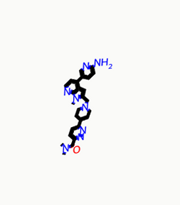 CN(C)C(=O)c1ccc(C2=CCN(Cc3cc4c(-c5ccc(N)nc5)ccnc4n3C)CC2)nn1